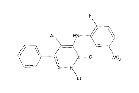 CCn1nc(-c2ccccc2)c(C(C)=O)c(Nc2cc([N+](=O)[O-])ccc2F)c1=O